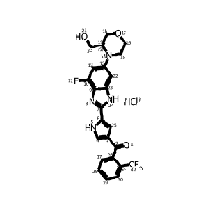 Cl.O=C(c1c[nH]c(-c2nc3c(F)cc(N4CCOC[C@@H]4CO)cc3[nH]2)c1)c1ccccc1C(F)(F)F